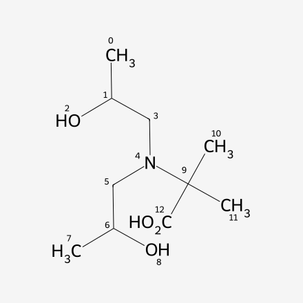 CC(O)CN(CC(C)O)C(C)(C)C(=O)O